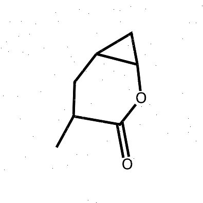 CC1CC2CC2OC1=O